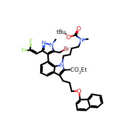 CCOC(=O)c1c(CCCOc2cccc3ccccc23)c2cccc(-c3c(C=C(F)F)nn(C)c3CBr)c2n1CCCCN(C)C(=O)OC(C)(C)C